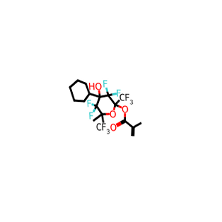 C=C(C)C(=O)OC1(C(F)(F)F)OC(C)(C(F)(F)F)C(F)(F)C(O)(C2CCCCC2)C1(F)F